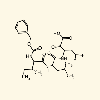 CCC(C)C(NC(=O)OCc1ccccc1)C(=O)NC(CC(C)C)C(=O)NC(CC(F)F)C(=O)C(=O)O